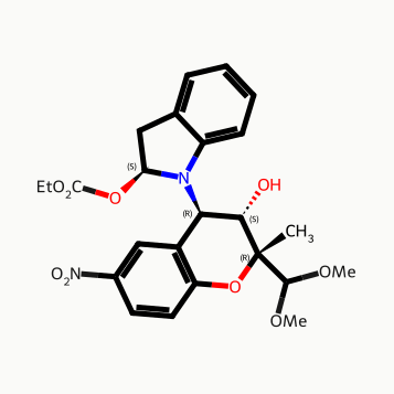 CCOC(=O)O[C@H]1Cc2ccccc2N1[C@@H]1c2cc([N+](=O)[O-])ccc2O[C@@](C)(C(OC)OC)[C@H]1O